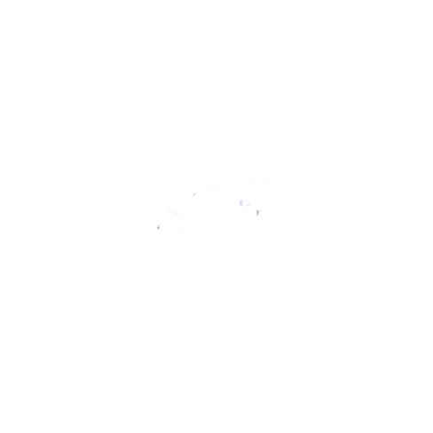 CC(C)(C)OC(=O)NC(C=O)Cc1ccc(-c2cc(Cl)cc(Cl)c2)cc1